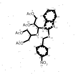 CC(=O)OCC(COC(C)=O)OC([C@H](COC(C)=O)OC(C)=O)n1c(SCc2ccc([N+](=O)[O-])cc2)nc2ccccc21